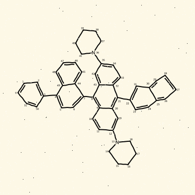 c1ccc(-c2ccc(-c3c4ccc(N5CCCCC5)cc4c(-c4ccc5ccccc5c4)c4ccc(N5CCCCC5)cc34)c3ccccc23)cc1